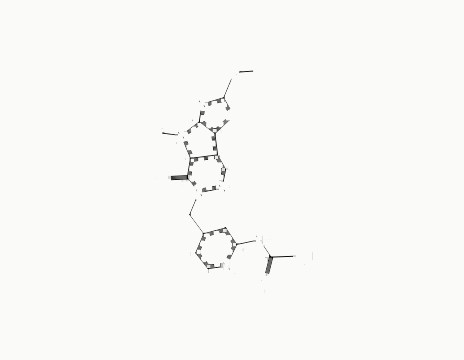 CSc1nc2c(s1)c1cnn(Cc3ccnc(NC(=O)O)c3)c(=O)c1n2C